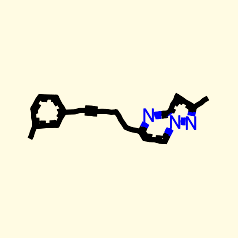 Cc1cccc(C#CCCc2ccn3nc(C)cc3n2)c1